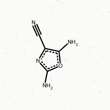 N#Cc1nc(N)oc1N